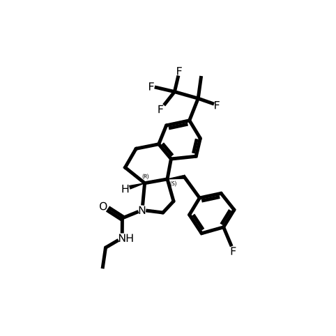 CCNC(=O)N1CC[C@@]2(Cc3ccc(F)cc3)c3ccc(C(C)(F)C(F)(F)F)cc3CC[C@@H]12